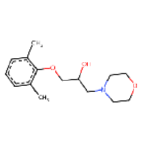 Cc1cccc(C)c1OCC(O)CN1CCOCC1